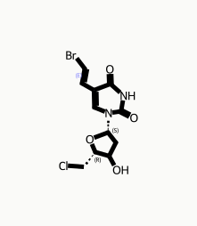 O=c1[nH]c(=O)n([C@@H]2CC(O)[C@H](CCl)O2)cc1/C=C/Br